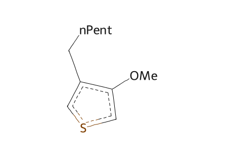 CCCCCCc1cscc1OC